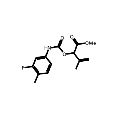 C=C(C)C(OC(=O)Nc1ccc(C)c(F)c1)C(=O)OC